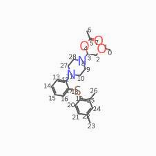 COC[C@H](OC(C)=O)N1CCN(c2ccccc2Sc2ccc(C)cc2C)CC1